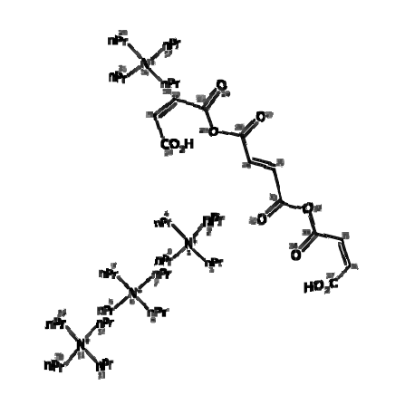 CCC[N+](CCC)(CCC)CCC.CCC[N+](CCC)(CCC)CCC.CCC[N+](CCC)(CCC)CCC.CCC[N+](CCC)(CCC)CCC.O=C(O)/C=C\C(=O)OC(=O)/C=C/C(=O)OC(=O)/C=C\C(=O)O